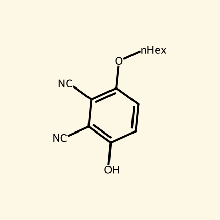 CCCCCCOc1ccc(O)c(C#N)c1C#N